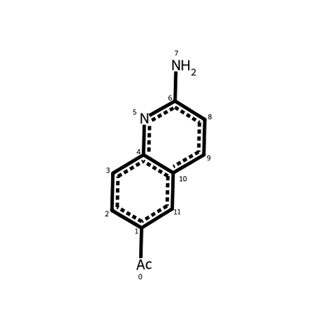 CC(=O)c1ccc2nc(N)ccc2c1